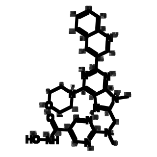 CN(Cc1nc2c(N3CCOCC3)nc(-c3cnc4ccccc4c3)nc2n1C)c1ncc(C(=O)NO)cn1